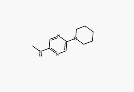 CNc1cnc(N2CCCCC2)cn1